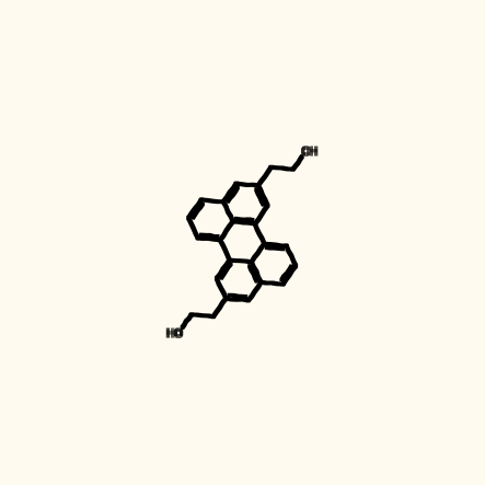 OCCc1cc2cccc3c4cc(CCO)cc5cccc(c(c1)c23)c54